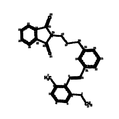 CCc1cccc(C)c1C=Cc1cccc(CCCN2C(=O)c3ccccc3C2=O)c1